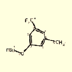 [CH2]c1cc(OCCCC)cc(C(F)(F)F)c1